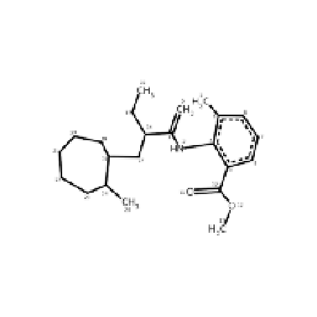 C=C(Nc1c(C)cccc1C(=O)OC)C(CC)CC1CCCCCC1C